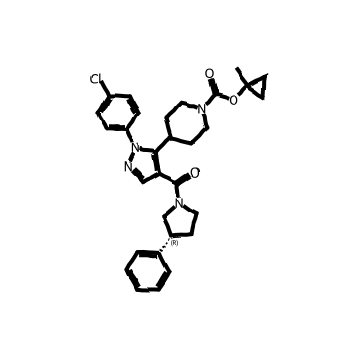 CC1(OC(=O)N2CCC(c3c(C(=O)N4CC[C@H](c5ccccc5)C4)cnn3-c3ccc(Cl)cc3)CC2)CC1